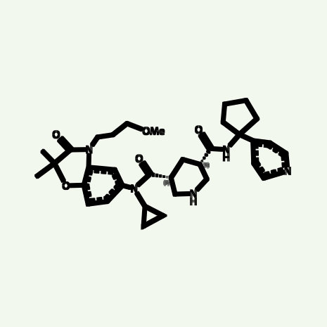 COCCCN1C(=O)C(C)(C)Oc2ccc(N(C(=O)[C@H]3CNC[C@@H](C(=O)NC4(c5ccncc5)CCCC4)C3)C3CC3)cc21